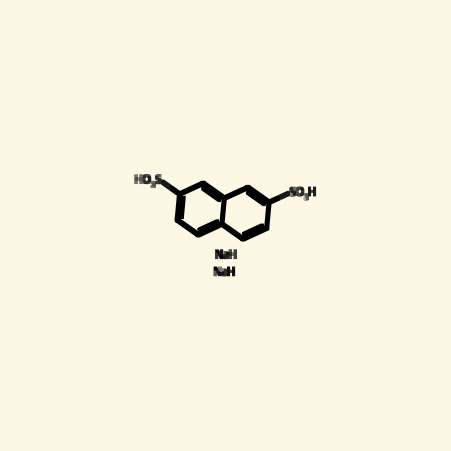 O=S(=O)(O)c1ccc2ccc(S(=O)(=O)O)cc2c1.[NaH].[NaH]